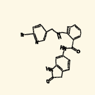 O=C1Cc2ccc(NC(=O)c3ccccc3NCc3ccc(Br)nc3)cc2N1